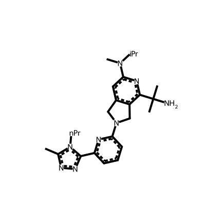 CCCn1c(C)nnc1-c1cccc(N2Cc3cc(N(C)C(C)C)nc(C(C)(C)N)c3C2)n1